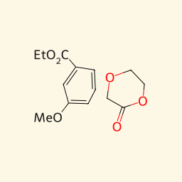 CCOC(=O)c1cccc(OC)c1.O=C1COCCO1